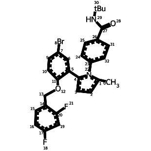 Cc1ccc(-c2cc(Br)ccc2OCc2ccc(F)cc2F)n1-c1ccc(C(=O)NC(C)(C)C)cc1